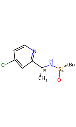 C[C@@H](N[S@+]([O-])C(C)(C)C)c1cc(Cl)ccn1